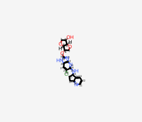 O[C@@H]1CO[C@H]2[C@@H]1OC[C@H]2Oc1nc2nc(NC3CCc4ncccc43)c(Cl)cc2[nH]1